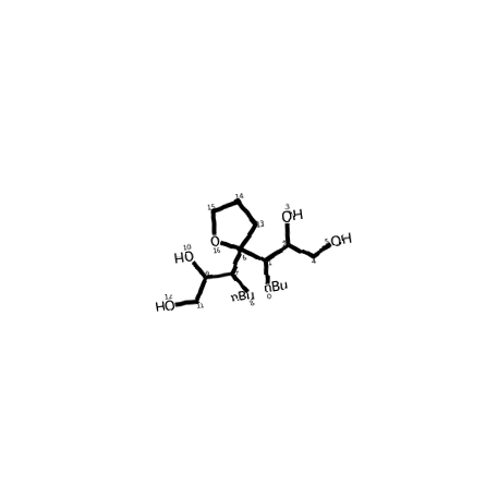 CCCCC(C(O)CO)C1(C(CCCC)C(O)CO)CCCO1